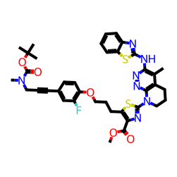 COC(=O)c1nc(N2CCCc3c2nnc(Nc2nc4ccccc4s2)c3C)sc1CCCOc1ccc(C#CCN(C)C(=O)OC(C)(C)C)cc1F